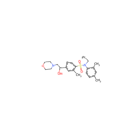 Cc1ccc(N(CC(C)C)S(=O)(=O)c2ccc(C(O)CN3CCOCC3)cc2C)c(C)c1